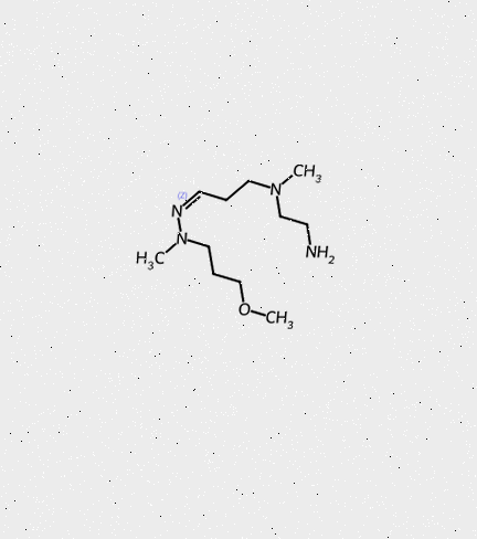 COCCCN(C)/N=C\CCN(C)CCN